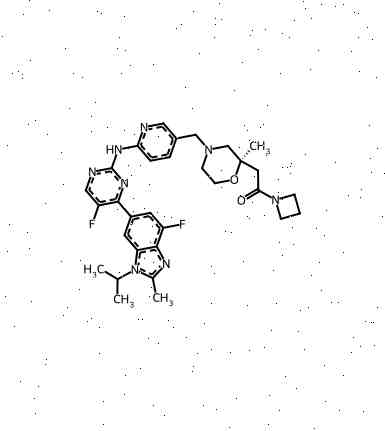 Cc1nc2c(F)cc(-c3nc(Nc4ccc(CN5CCO[C@](C)(CC(=O)N6CCC6)C5)cn4)ncc3F)cc2n1C(C)C